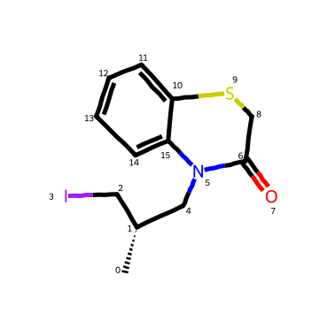 C[C@H](CI)CN1C(=O)CSc2ccccc21